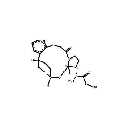 CC(C)(C)OC(=O)N(N)[C@H]1CCN2C(=O)COc3ncccc3[C@H]3CC[C@H](CC3)OC[C@@H]12